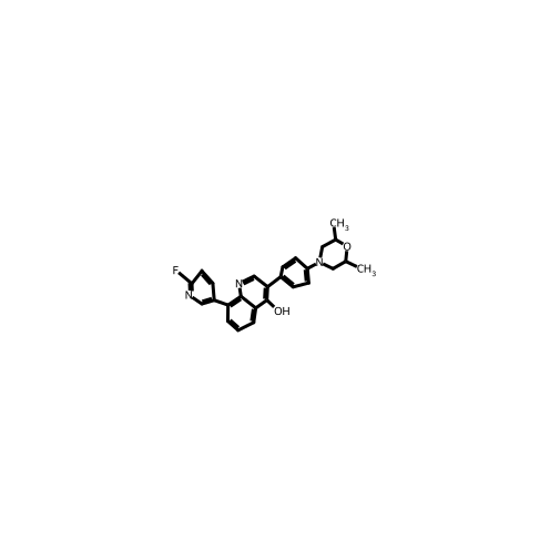 CC1CN(c2ccc(-c3cnc4c(-c5ccc(F)nc5)cccc4c3O)cc2)CC(C)O1